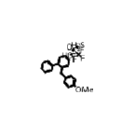 COc1ccc(Cc2ccccc2-c2ccccc2)cc1.O=S(=O)(O)C(F)(F)F.S